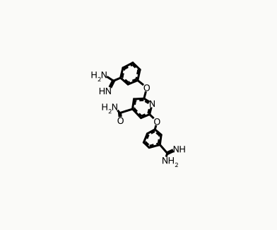 N=C(N)c1cccc(Oc2cc(C(N)=O)cc(Oc3cccc(C(=N)N)c3)n2)c1